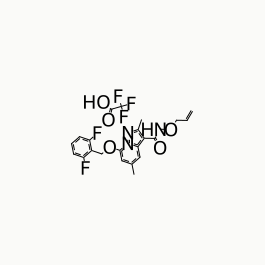 C=CCONC(=O)c1c(C)nn2c(OCc3c(F)cccc3F)cc(C)cc12.O=C(O)C(F)(F)F